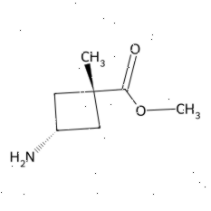 COC(=O)[C@]1(C)C[C@H](N)C1